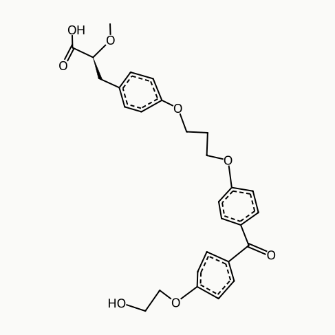 CO[C@@H](Cc1ccc(OCCCOc2ccc(C(=O)c3ccc(OCCO)cc3)cc2)cc1)C(=O)O